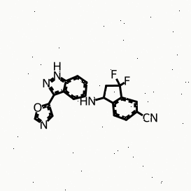 N#Cc1ccc2c(c1)C(F)(F)CC2Nc1ccc2[nH]nc(-c3cnco3)c2c1